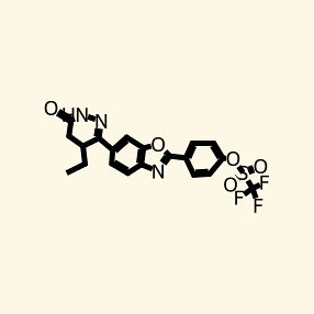 CCC1CC(=O)NN=C1c1ccc2nc(-c3ccc(OS(=O)(=O)C(F)(F)F)cc3)oc2c1